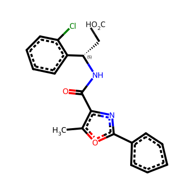 Cc1oc(-c2ccccc2)nc1C(=O)N[C@@H](CC(=O)O)c1ccccc1Cl